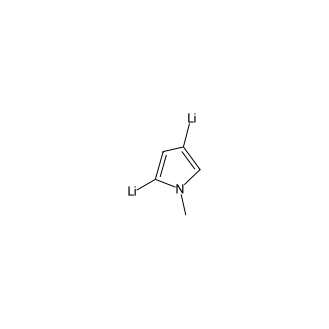 [Li][c]1c[c]([Li])n(C)c1